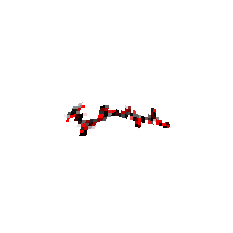 c1ccc(-c2ccc(-n3c4ccccc4c4cc(-c5ccc6c(c5)c5ccccc5n6-c5ccc(-c6cccc7c6oc6ccc(-c8ccc(-n9c%10ccccc%10c%10cc(-c%11ccc%12c(c%11)c%11cc(-c%13ccc%14c(c%13)c%13ccccc%13n%14-c%13ccccc%13)ccc%11n%12-c%11ccccc%11)ccc%109)cc8)cc67)cc5)ccc43)cc2)cc1